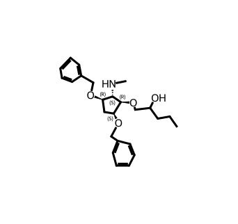 CCCC(O)CO[C@@H]1[C@@H](NC)[C@H](OCc2ccccc2)C[C@@H]1OCc1ccccc1